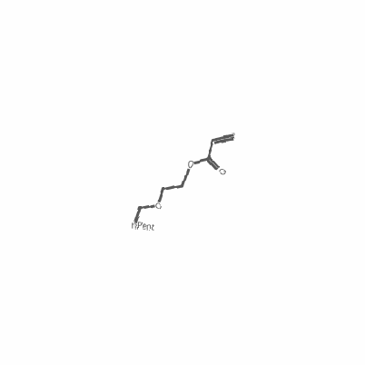 C=CC(=O)OCCOCCCCCC